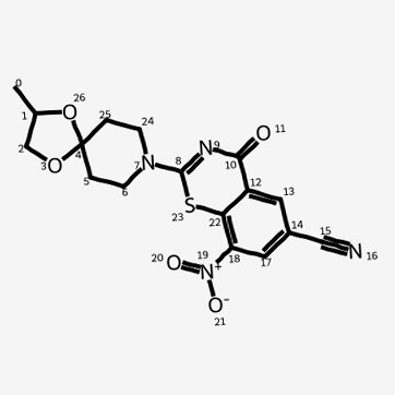 CC1COC2(CCN(c3nc(=O)c4cc(C#N)cc([N+](=O)[O-])c4s3)CC2)O1